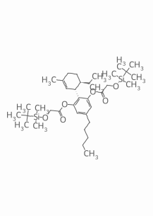 C=C(C)[C@@H]1CCC(C)=C[C@H]1c1c(OC(=O)CO[Si](C)(C)C(C)(C)C)cc(CCCCC)cc1OC(=O)CO[Si](C)(C)C(C)(C)C